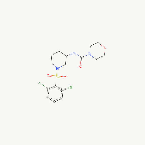 O=C(NC1CCCN(S(=O)(=O)c2c(Cl)cccc2Cl)C1)N1CCOCC1